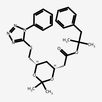 CC(C)(Cc1ccccc1)OC(=O)C[C@H]1C[C@@H](CSc2nnnn2-c2ccccc2)OC(C)(C)O1